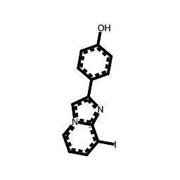 Oc1ccc(-c2cn3cccc(I)c3n2)cc1